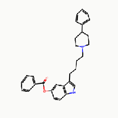 O=C(Oc1ccc2[nH]cc(CCCCN3CCC(c4ccccc4)CC3)c2c1)c1ccccc1